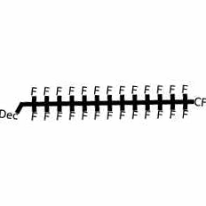 CCCCCCCCCCCC(F)(F)C(F)(F)C(F)(F)C(F)(F)C(F)(F)C(F)(F)C(F)(F)C(F)(F)C(F)(F)C(F)(F)C(F)(F)C(F)(F)C(F)(F)C(F)(F)F